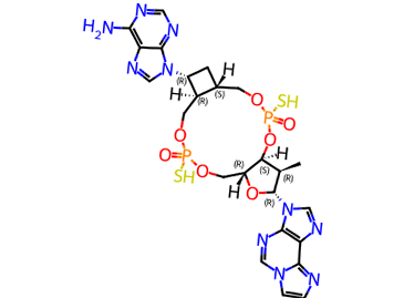 C[C@@H]1[C@@H]2OP(=O)(S)OC[C@H]3C[C@@H](n4cnc5c(N)ncnc54)[C@@H]3COP(=O)(S)OC[C@H]2O[C@H]1n1cnc2c1ncn1ccnc21